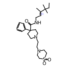 CCC(C)(C)/C(C)=C/CNC(=O)C1(c2ccccc2)CCN(CCN2CCS(=O)(=O)CC2)CC1